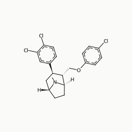 CN1[C@@H]2CC[C@@H]1[C@@H](COc1ccc(Cl)cc1)[C@H](c1ccc(Cl)c(Cl)c1)C2